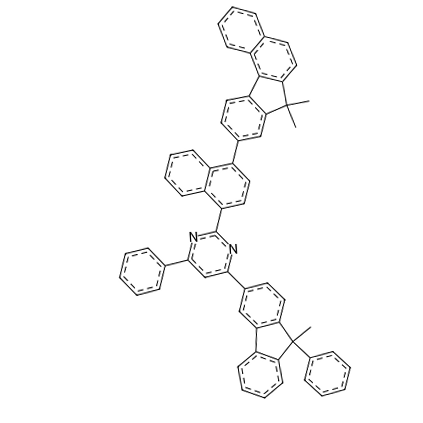 CC1(C)c2cc(-c3ccc(-c4nc(-c5ccccc5)cc(-c5ccc6c(c5)-c5ccccc5C6(C)c5ccccc5)n4)c4ccccc34)ccc2-c2c1ccc1ccccc21